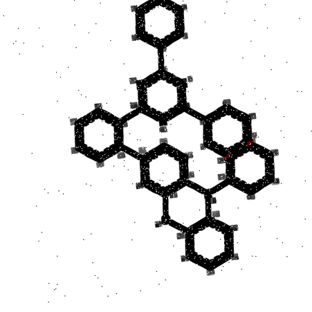 c1ccc(-c2nc(-c3ccccc3)nc(-c3ccccc3-c3ccc4c(c3)Oc3ccccc3N4c3ccccc3)n2)cc1